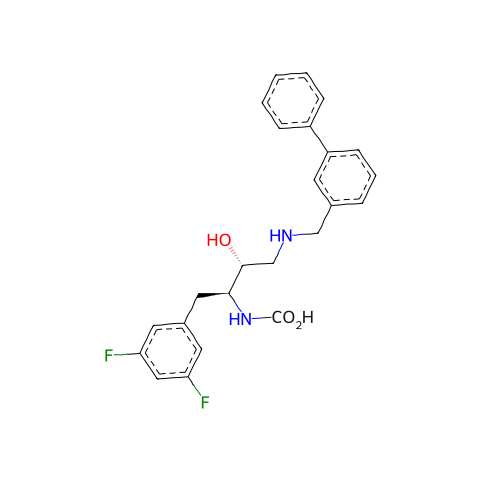 O=C(O)N[C@@H](Cc1cc(F)cc(F)c1)[C@H](O)CNCc1cccc(-c2ccccc2)c1